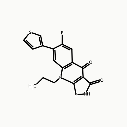 CCCn1c2cc(-c3ccsc3)c(F)cc2c(=O)c2c(=O)[nH]sc21